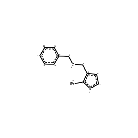 CC(C)c1sccc1COCc1ccccc1